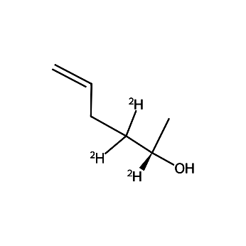 [2H]C([2H])(CC=C)[C@]([2H])(C)O